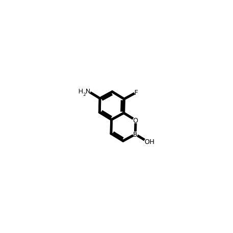 Nc1cc(F)c2c(c1)C=CB(O)O2